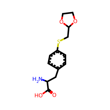 NC(Cc1ccc(SCC2OCCO2)cc1)C(=O)O